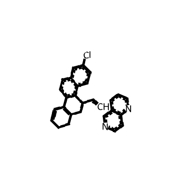 C=CC1CC2=C(C=CCC2)c2ccc3cc(Cl)ccc3c21.c1cnc2ccncc2c1